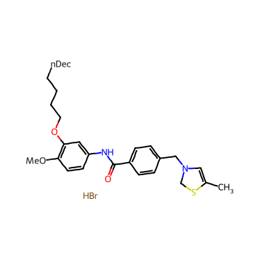 Br.CCCCCCCCCCCCCCOc1cc(NC(=O)c2ccc(CN3C=C(C)SC3)cc2)ccc1OC